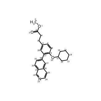 COC(=O)CCc1ccc(OC2CCCCC2)c(-c2ccc3cnccc3c2)c1